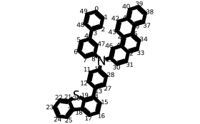 c1ccc(-c2cccc(N(c3ccc(-c4cccc5c4sc4ccccc45)cc3)c3ccc4ccc5c6ccccc6ccc5c4c3)c2)cc1